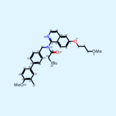 COCCCOc1ccc2c(N(Cc3ccc(-c4ccc(OC)c(C)c4)cc3)C(=O)CC(C)(C)C)nccc2c1